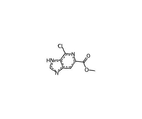 COC(=O)c1cc2nc[nH]c2c(Cl)n1